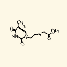 Cc1cn(CCSCC(=O)O)c(=O)[nH]c1=O